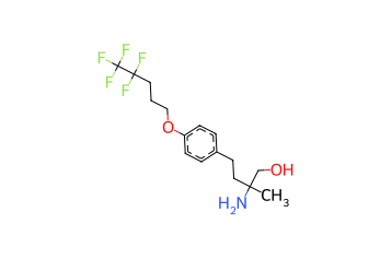 CC(N)(CO)CCc1ccc(OCCCC(F)(F)C(F)(F)F)cc1